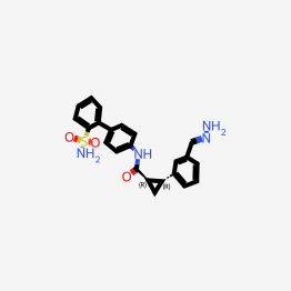 NN=Cc1cccc([C@@H]2C[C@H]2C(=O)Nc2ccc(-c3ccccc3S(N)(=O)=O)cc2)c1